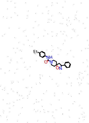 CCc1ccc(NC(=O)N2CCC3(CC2)CC(c2ccccc2)=NO3)cc1